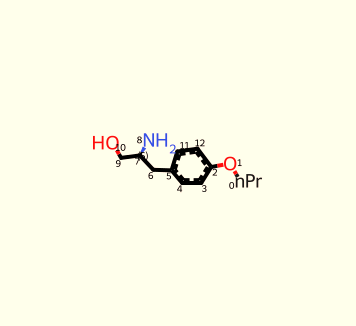 CCCOc1ccc(C[C@H](N)CO)cc1